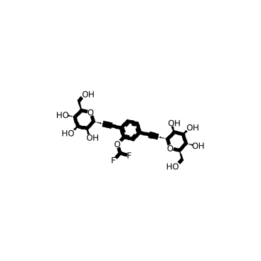 OC[C@H]1O[C@H](C#Cc2ccc(C#C[C@H]3O[C@H](CO)[C@@H](O)[C@H](O)[C@@H]3O)c(OC(F)F)c2)[C@@H](O)[C@@H](O)[C@@H]1O